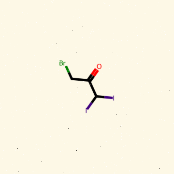 O=C(CBr)C(I)I